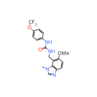 COc1ccc2ncn(C)c2c1CNC(=O)Nc1ccc(OC(F)(F)F)cc1